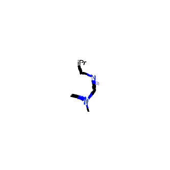 CC(C)C/N=C\N(C)C